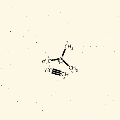 C#C.C[SiH](C)C